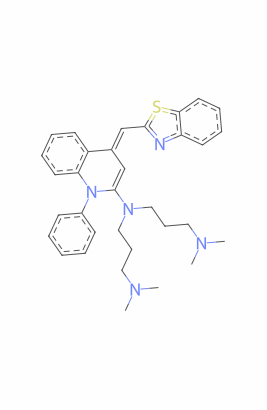 CN(C)CCCN(CCCN(C)C)C1=C/C(=C\c2nc3ccccc3s2)c2ccccc2N1c1ccccc1